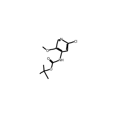 COc1cnc(Cl)cc1NC(=O)OC(C)(C)C